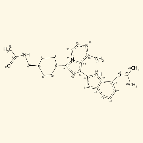 CC(=O)NC[C@H]1CC[C@H](c2nc(-c3cc4cccc(OC(C)C)c4[nH]3)c3c(N)nccn32)CC1